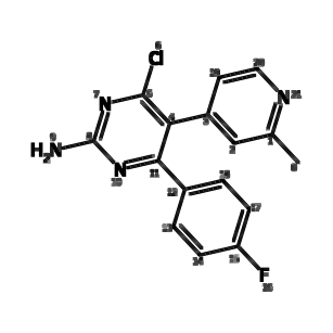 Cc1cc(-c2c(Cl)nc(N)nc2-c2ccc(F)cc2)ccn1